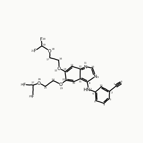 C#Cc1cccc(Nc2ncnc3cc(OCCOC(F)F)c(OCCOC(F)F)cc23)c1